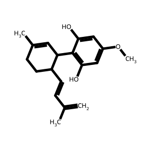 C=C(C)C=CC1CCC(C)=CC1c1c(O)cc(OC)cc1O